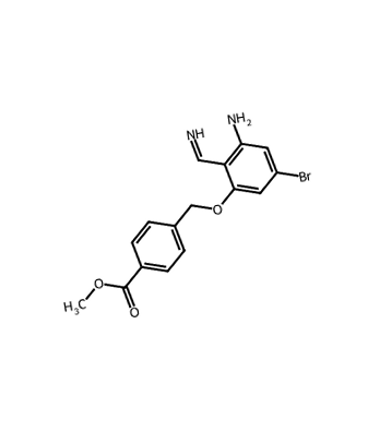 COC(=O)c1ccc(COc2cc(Br)cc(N)c2C=N)cc1